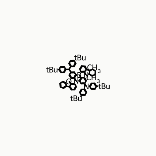 CC(C)(C)c1ccc(C(c2ccc(C(C)(C)C)cc2)c2ccc3c(c2)B2c4cccc5c4N(c4cc(N(c6ccc(C(C)(C)C)cc6)c6ccc(C(C)(C)C)cc6)cc(c42)N3c2cccc3c2oc2ccccc23)C2(C)CCCCC52C)cc1